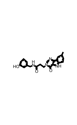 Cc1ccc2[nH]c3c(=O)n(CCC(=O)NCc4cccc(O)c4)cnc3c2c1